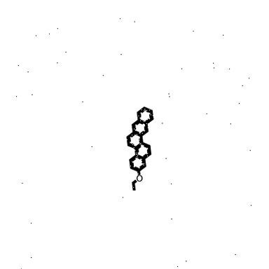 CCOc1ccc2c(ccc3c4cc5ccccc5cc4ccc23)c1